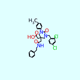 Cc1ccc(N2CC(CC(=O)O)(CC(=O)NCCc3ccccc3)CN(Cc3ccc(Cl)cc3Cl)C2=O)cc1